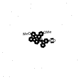 COc1ccc2c(c1)C1(c3ccccc3-c3ccccc31)c1c3c(c4cc(OC)ccc4c1-2)OC(c1ccccc1)(c1ccc(N2CCOCC2)cc1)C=C3